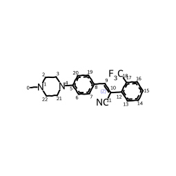 CN1CCN(c2ccc(/C=C(\C#N)c3ccccc3C(F)(F)F)cc2)CC1